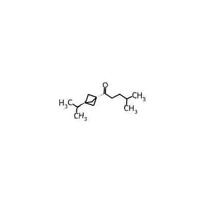 CC(C)CCC(=O)[C@]12C[C@@](C(C)C)(C1)C2